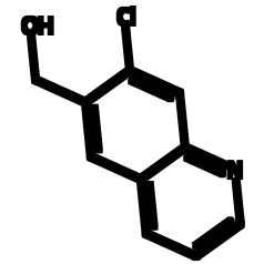 OCc1cc2cccnc2cc1Cl